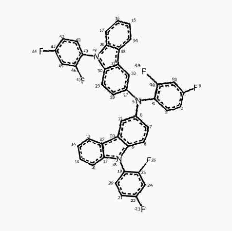 Fc1ccc(N(c2ccc3c(c2)c2ccccc2n3-c2ccc(F)cc2F)c2ccc3c(c2)c2ccccc2n3-c2ccc(F)cc2F)c(F)c1